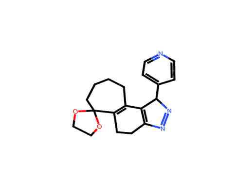 c1cc(C2N=NC3=C2C2=C(CC3)C3(CCCC2)OCCO3)ccn1